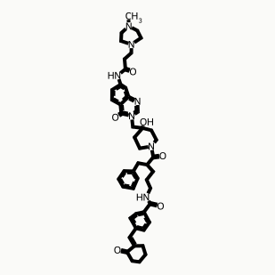 CN1CCN(CCC(=O)Nc2ccc3c(=O)n(CC4(O)CCN(C(=O)C(CCCNC(=O)c5ccc(/C=C6\CCCCC6=O)cc5)Cc5ccccc5)CC4)cnc3c2)CC1